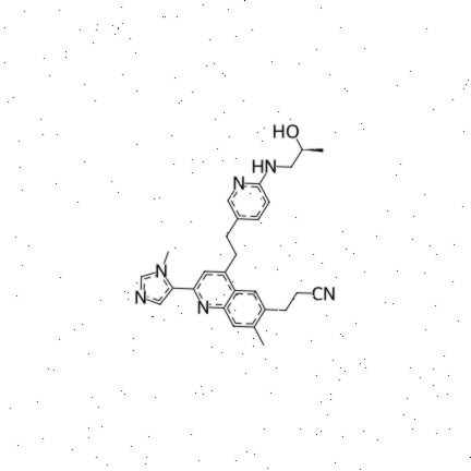 Cc1cc2nc(-c3cncn3C)cc(CCc3ccc(NC[C@H](C)O)nc3)c2cc1CCC#N